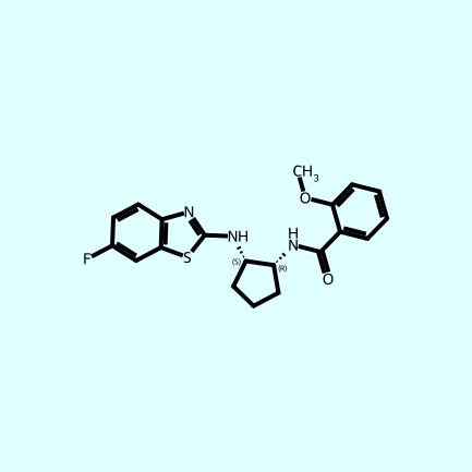 COc1ccccc1C(=O)N[C@@H]1CCC[C@@H]1Nc1nc2ccc(F)cc2s1